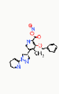 Cc1c(-c2cnn(-c3ccccn3)c2)cnc(C(=O)ON=O)c1OCc1ccccc1